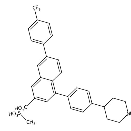 CS(=O)(=O)O.O=C(O)c1cc(-c2ccc(C3CCNCC3)cc2)c2ccc(-c3ccc(C(F)(F)F)cc3)cc2c1